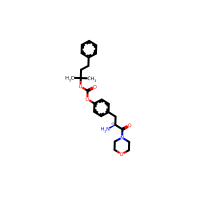 CC(C)(CCc1ccccc1)OC(=O)Oc1ccc(C[C@H](N)C(=O)N2CCOCC2)cc1